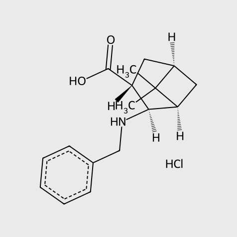 CC1(C)[C@H]2C[C@@H](C(=O)O)[C@H](NCc3ccccc3)[C@@H]1C2.Cl